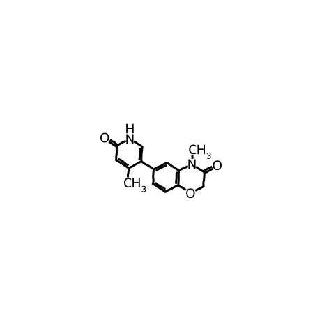 Cc1cc(=O)[nH]cc1-c1ccc2c(c1)N(C)C(=O)CO2